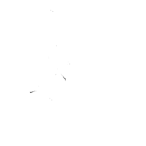 CC(C)Oc1cccc(CN2CC[C@@]3(C[C@@H]2C)C(=O)N(Cc2nccs2)C(=O)N3c2cccc(F)c2)c1